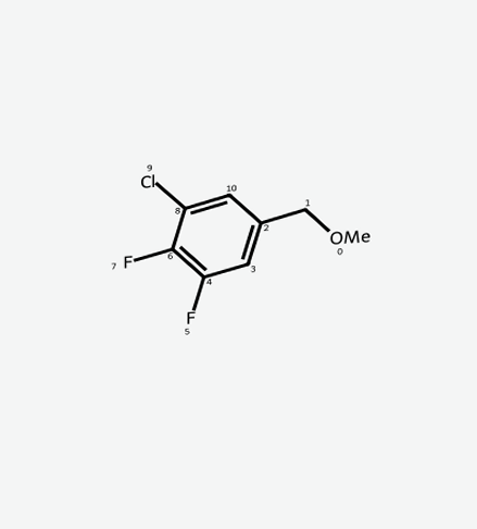 COCc1cc(F)c(F)c(Cl)c1